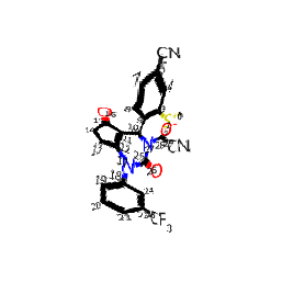 C[S+]([O-])c1cc(C#N)ccc1[C@@H]1C2=C(CCC2=O)N(c2cccc(C(F)(F)F)c2)C(=O)N1CC#N